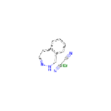 Br.C1=NNC=c2ccccc2=C1.N#CC#N